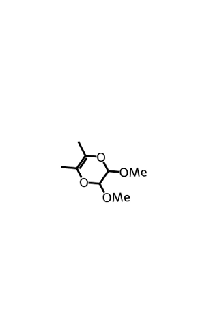 COC1OC(C)=C(C)OC1OC